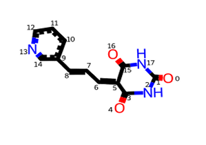 O=C1NC(=O)C(=C/C=C/c2cccnc2)C(=O)N1